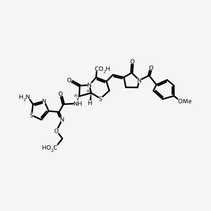 COc1ccc(C(=O)N2CCC(=CC3=C(C(=O)O)N4C(=O)[C@@H](NC(=O)C(=NOCC(=O)O)c5csc(N)n5)[C@H]4SC3)C2=O)cc1